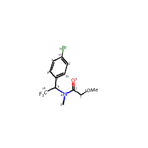 COCC(=O)N(C)C(c1ccc(Br)cc1)C(F)(F)F